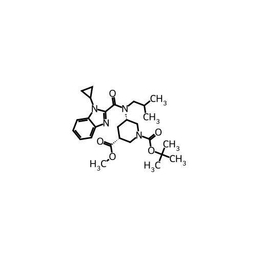 COC(=O)[C@@H]1C[C@H](N(CC(C)C)C(=O)c2nc3ccccc3n2C2CC2)CN(C(=O)OC(C)(C)C)C1